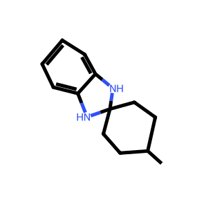 CC1CCC2(CC1)Nc1ccccc1N2